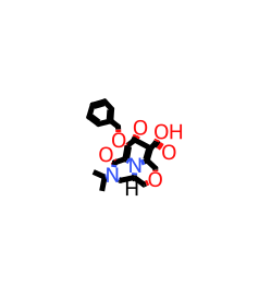 CC(C)N1C[C@@H]2COCc3c(C(=O)O)c(=O)c(OCc4ccccc4)c(n32)C1=O